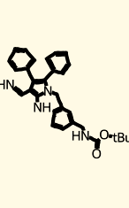 CC(C)(C)OC(=O)NCc1cccc(Cn2c(N)c(C=N)c(-c3ccccc3)c2-c2ccccc2)c1